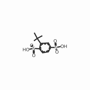 CC(C)(C)c1cc(S(=O)(=O)O)ccc1S(=O)(=O)O